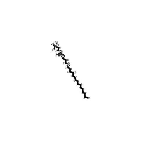 CCCCCCCCCCCCCCCCOCCCOPOCC[N+](C)(C)C